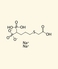 O=C(O)CSCCCC(P(=O)([O-])[O-])P(=O)(O)O.[Na+].[Na+]